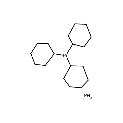 C1CC[CH]([Ru]([CH]2CCCCC2)[CH]2CCCCC2)CC1.P